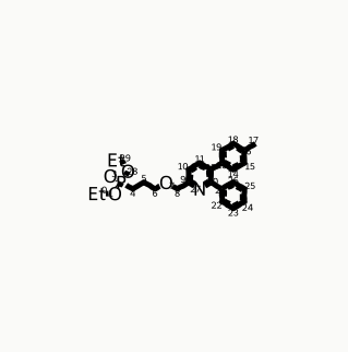 CCOP(=O)(CCCOCc1ccc(-c2ccc(C)cc2)c(-c2ccccc2)n1)OCC